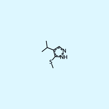 CSc1[nH]ncc1C(C)C